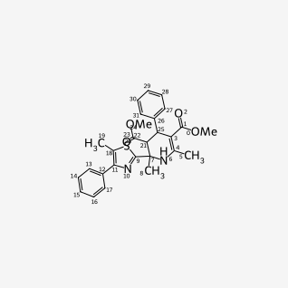 COC(=O)C1=C(C)NC(C)(c2nc(-c3ccccc3)c(C)s2)C(C(=O)OC)C1c1ccccc1